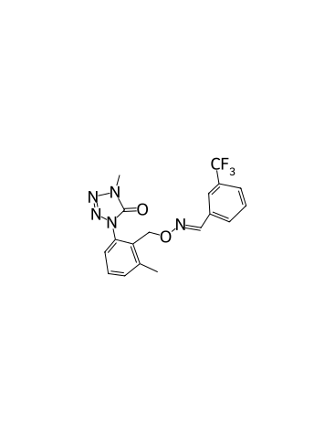 Cc1cccc(-n2nnn(C)c2=O)c1CON=Cc1cccc(C(F)(F)F)c1